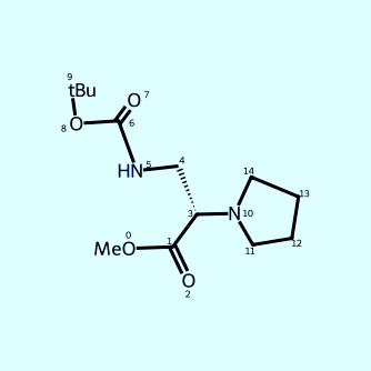 COC(=O)[C@H](CNC(=O)OC(C)(C)C)N1CCCC1